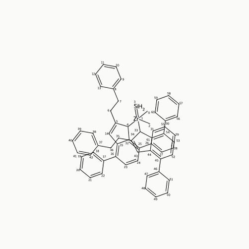 [CH3][Zr]([CH3])(=[SiH2])([CH]1C(CCc2ccccc2)=Cc2c(-c3ccccc3)ccc(-c3ccccc3)c21)[CH]1C(CCc2ccccc2)=Cc2c(-c3ccccc3)ccc(-c3ccccc3)c21